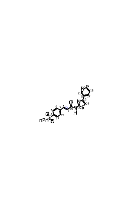 CCCS(=O)(=O)c1ccc(/C=C/C(=O)Nc2nc(-c3cccnc3)cs2)cc1